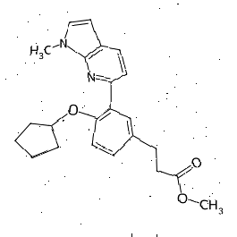 COC(=O)CCc1ccc(OC2CCCC2)c(-c2ccc3ccn(C)c3n2)c1